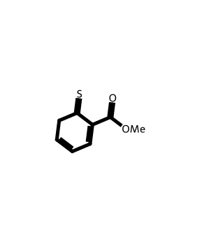 COC(=O)C1=CC=CCC1=S